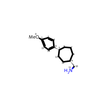 COc1ccc([C@@H]2CCC[C@H](CN)CC2)cc1